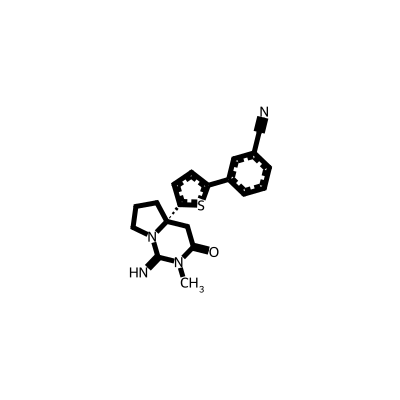 CN1C(=N)N2CCC[C@@]2(c2ccc(-c3cccc(C#N)c3)s2)CC1=O